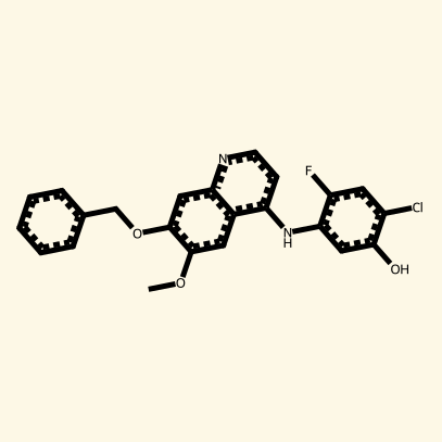 COc1cc2c(Nc3cc(O)c(Cl)cc3F)ccnc2cc1OCc1ccccc1